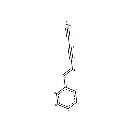 C#CC#CC=Cc1ccccc1